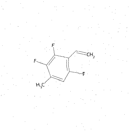 C=Cc1c(F)cc(C)c(F)c1F